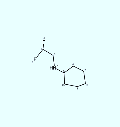 FC(F)CNC1CCCCC1